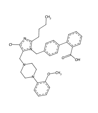 CCCCc1nc(Cl)c(CN2CCN(c3ccccc3OC)CC2)n1Cc1ccc(-c2ccccc2C(=O)O)cc1